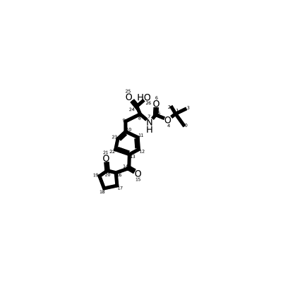 CC(C)(C)OC(=O)NC(Cc1ccc(C(=O)C2CCCC2=O)cc1)C(=O)O